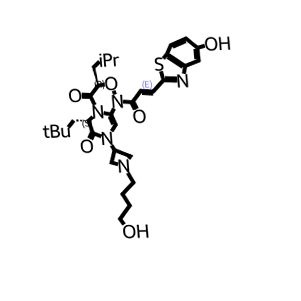 CC(C)C[C@H]1ON(C(=O)/C=C/c2nc3cc(O)ccc3s2)C2=CN(C3CN(CCCCO)C3)C(=O)[C@H](CC(C)(C)C)N2C1=O